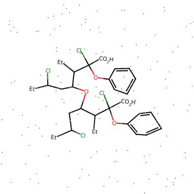 CCC(Cl)CC(OC(CC(Cl)CC)C(CC)C(Cl)(Oc1ccccc1)C(=O)O)C(CC)C(Cl)(Oc1ccccc1)C(=O)O